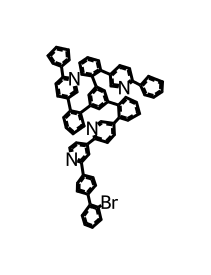 Brc1ccccc1-c1ccc(-c2cc(-c3ccc(-c4ccccc4-c4cc(-c5ccccc5-c5ccc(-c6ccccc6)nc5)cc(-c5ccccc5-c5ccc(-c6ccccc6)nc5)c4)cn3)ccn2)cc1